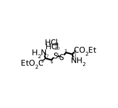 CCOC(=O)C(N)CSSC[C@H](N)C(=O)OCC.Cl.Cl